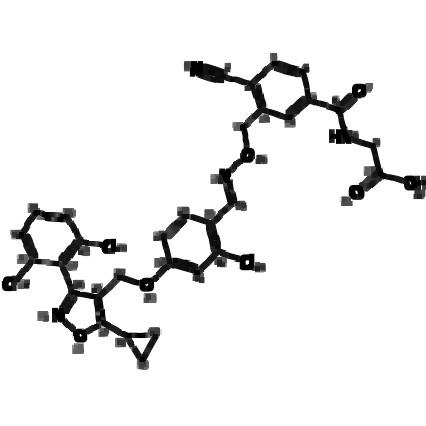 N#Cc1ccc(C(=O)NCC(=O)O)cc1CON=Cc1ccc(OCc2c(-c3c(Cl)cccc3Cl)noc2C2CC2)cc1Cl